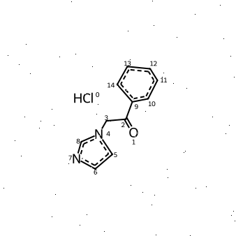 Cl.O=C(Cn1ccnc1)c1ccccc1